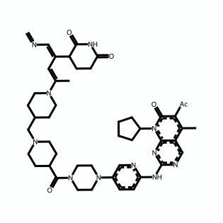 C=N/C=C(\C=C(/C)N1CCC(CN2CCC(C(=O)N3CCN(c4ccc(Nc5ncc6c(C)c(C(C)=O)c(=O)n(C7CCCC7)c6n5)nc4)CC3)CC2)CC1)C1CCC(=O)NC1=O